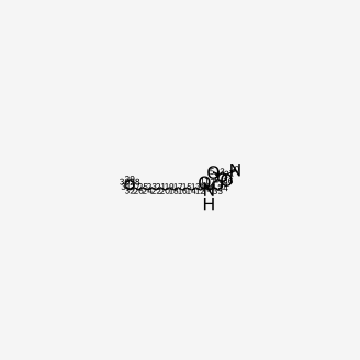 N#Cc1cc(=O)c2cc(NC(=O)CCCCCCCCCCCCCCCc3ccccc3)ccc2o1